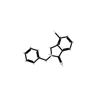 O=C1c2cccc(I)c2CN1Cc1ccccc1